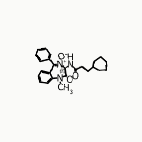 CN1C(=O)[C@H](NC(=O)CCC2CCCCC2)[N+]([O-])=C(c2ccccc2)c2ccccc21